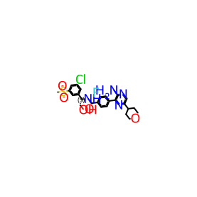 CS(=O)(=O)c1cc(Cl)cc([C@@H](CO)NC(=O)c2ccc(-c3nc(C4CCOCC4)cnc3N)cc2F)c1